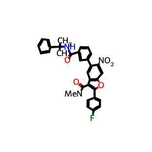 CNC(=O)c1c(-c2ccc(F)cc2)oc2cc([N+](=O)[O-])c(-c3cccc(C(=O)NC(C)(C)c4ccccc4)c3)cc12